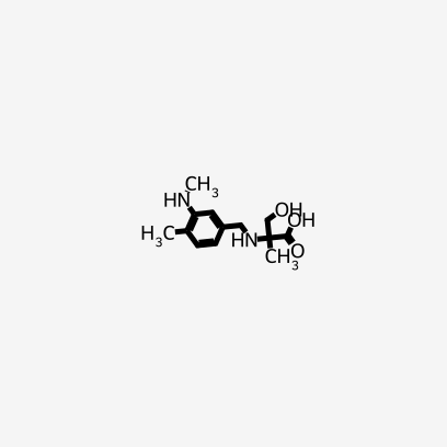 CNc1cc(CNC(C)(CO)C(=O)O)ccc1C